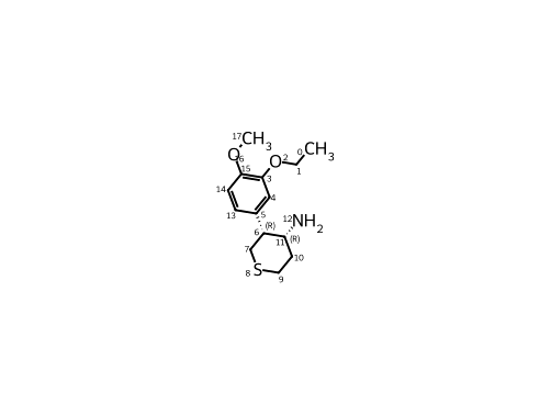 CCOc1cc([C@H]2CSCC[C@H]2N)ccc1OC